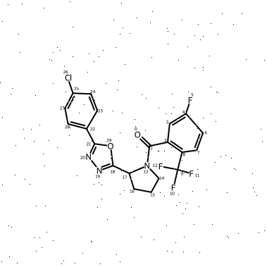 O=C(c1cc(F)ccc1C(F)(F)F)N1CCCC1c1nnc(-c2ccc(Cl)cc2)o1